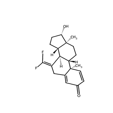 C[C@]12CC[C@H]3[C@@H](C(=C(F)F)CC4=CC(=O)C=C[C@@]43C)[C@@H]1CC[C@@H]2O